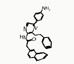 Nc1ccc(-c2cnc(NC(=O)Cc3ccc4ccccc4c3)c(CCc3ccccc3)n2)cc1